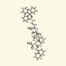 C[Si](C)(C)CCC(C(=O)O)N(Cc1cccc(CNC(=O)C[C@H](O)/C=C/CCSC(c2ccccc2)(c2ccccc2)c2ccccc2)n1)Cc1cccc2ccccc12